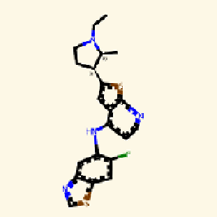 CCN1CC[C@H](c2cc3c(Nc4cc5ncsc5cc4F)ccnc3s2)[C@@H]1C